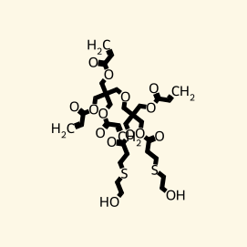 C=CC(=O)OCC(COCC(COC(=O)C=C)(COC(=O)CCSCCO)COC(=O)CCSCCO)(COC(=O)C=C)COC(=O)C=C